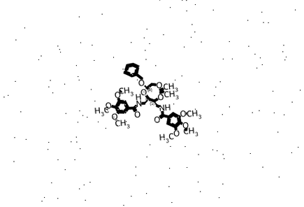 COc1cc(C(=O)NC[C@@H]2OC(C)(C)OC[C@H](OCc3ccccc3)O[C@@H]2CNC(=O)c2cc(OC)c(OC)c(OC)c2)cc(OC)c1OC